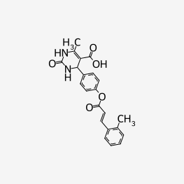 CC1=C(C(=O)O)C(c2ccc(OC(=O)C=Cc3ccccc3C)cc2)NC(=O)N1